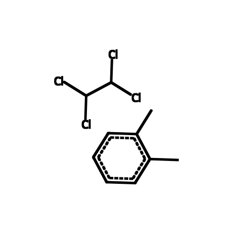 Cc1ccccc1C.ClC(Cl)C(Cl)Cl